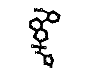 COc1ccccc1-c1cccc2cc(S(=O)(=O)Nc3ncns3)ccc12